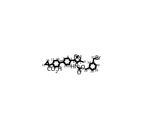 Cc1noc(-c2ccc(-c3ccc(C4(C(=O)O)CC4)cc3)cc2)c1NC(=O)OCc1cccc(CBr)c1